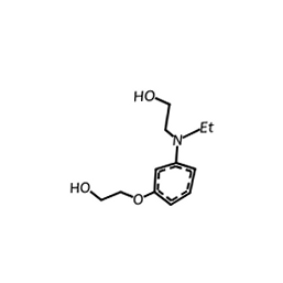 CCN(CCO)c1cccc(OCCO)c1